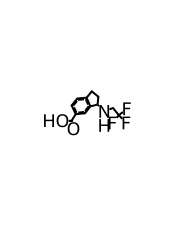 O=C(O)c1ccc2c(c1)C(NCC(F)(F)F)CC2